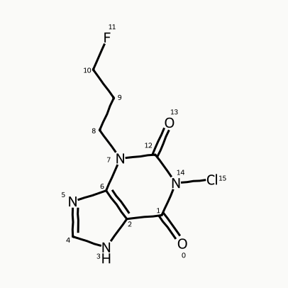 O=c1c2[nH]cnc2n(CCCF)c(=O)n1Cl